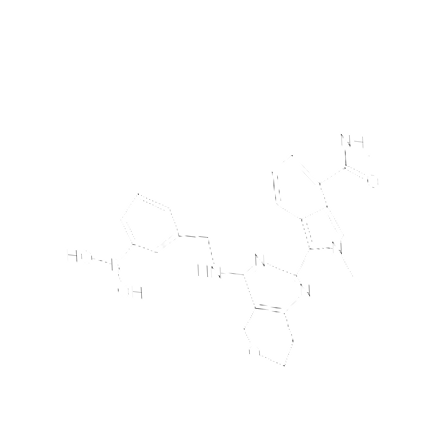 Cn1cc2c(C(N)=O)cccc2c1-c1nc2c(c(NCc3cccc(B(O)O)c3)n1)COCC2